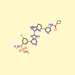 CS(=O)(=O)C(N)c1cc(F)cc(-c2cncc3[nH]c(-c4n[nH]c5ccc(-c6cncc(NC(=O)C7CCC7)c6)nc45)nc23)c1